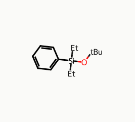 CC[Si](CC)(OC(C)(C)C)c1ccccc1